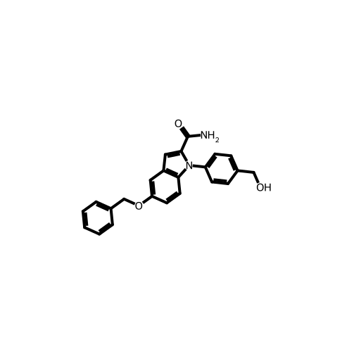 NC(=O)c1cc2cc(OCc3ccccc3)ccc2n1-c1ccc(CO)cc1